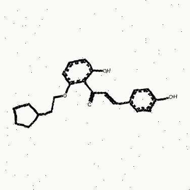 O=C(/C=C/c1ccc(O)cc1)c1c(O)cccc1OCCC1CCCC1